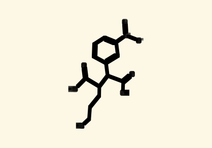 O=C(O)C(CCCS)C(C(=O)O)c1cccc([N+](=O)[O-])c1